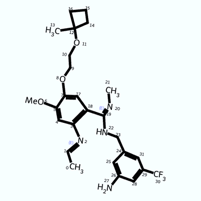 C/C=N/c1cc(OC)c(OCCOC2(C)CCC2)cc1/C(=N\C)NCc1cc(N)cc(C(F)(F)F)c1